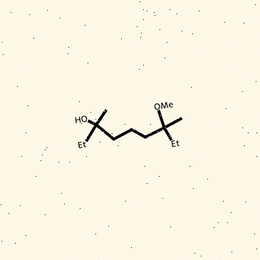 CCC(C)(O)CCCC(C)(CC)OC